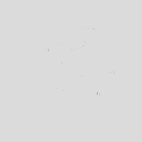 Cc1c(N2C3CCC2CC(OCc2c(-c4ccccc4C(F)(F)F)noc2C2CC2)C3)ccc2oc(C(=O)O)cc12